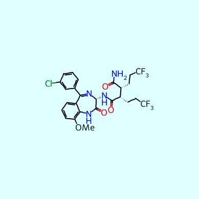 COc1cccc2c1NC(=O)[C@@H](NC(=O)[C@@H](CCC(F)(F)F)[C@@H](CCC(F)(F)F)C(N)=O)N=C2c1cccc(Cl)c1